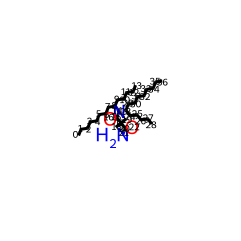 CCCCCCCCC(CCCCC)N(C(=O)C(C)(C)C(N)=O)C(CCCCC)CCCCCCCC